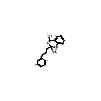 NC1=NC(N)(CCCc2ccccc2)Nc2ccccc21